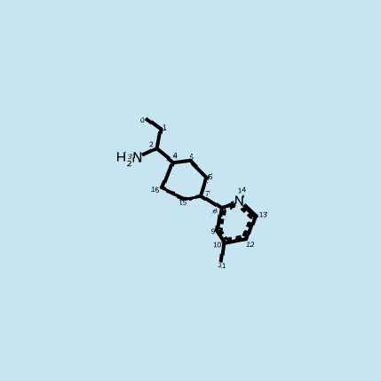 CCC(N)C1CCC(c2cc(C)ccn2)CC1